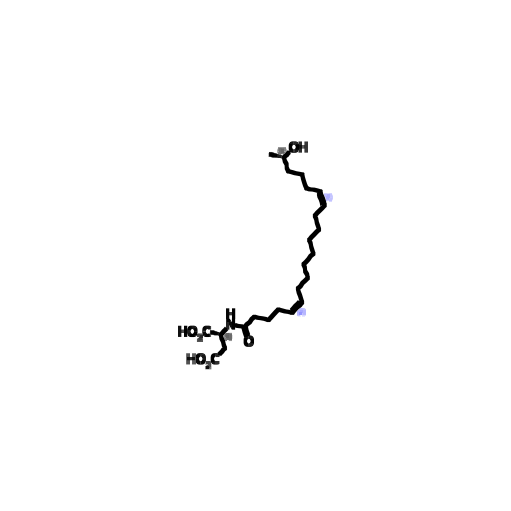 C[C@@H](O)CCC/C=C\CCCCCCC/C=C\CCCC(=O)N[C@@H](CC(=O)O)C(=O)O